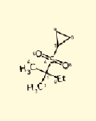 [CH2]CC(C)(C)S(=O)(=O)C1CC1